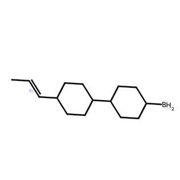 BC1CCC(C2CCC(/C=C/C)CC2)CC1